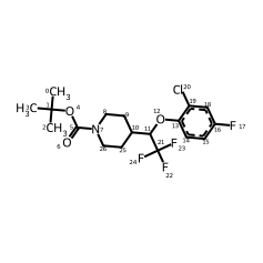 CC(C)(C)OC(=O)N1CCC(C(Oc2ccc(F)cc2Cl)C(F)(F)F)CC1